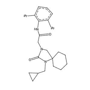 CC(C)c1cccc(C(C)C)c1NC(=O)CN1CC2(CCCCC2)N(CC2CC2)C1=O